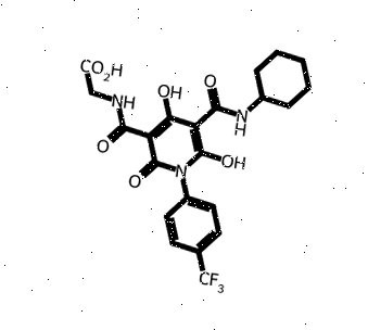 O=C(O)CNC(=O)c1c(O)c(C(=O)NC2CCCCC2)c(O)n(-c2ccc(C(F)(F)F)cc2)c1=O